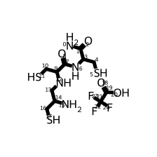 NC(=O)C(CS)NC(=O)C(CS)NCC(N)CS.O=C(O)C(F)(F)F